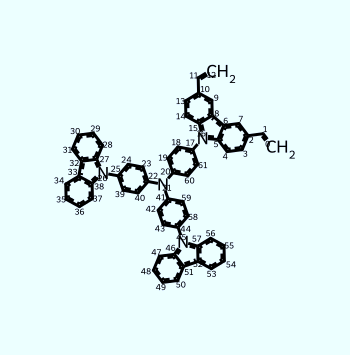 C=Cc1ccc2c(c1)c1cc(C=C)ccc1n2-c1ccc(N(c2ccc(-n3c4ccccc4c4ccccc43)cc2)c2ccc(-n3c4ccccc4c4ccccc43)cc2)cc1